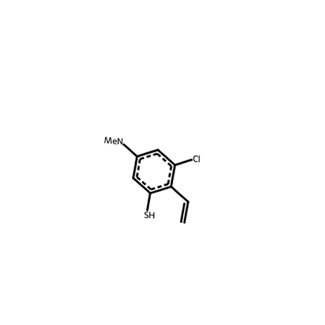 C=Cc1c(S)cc(NC)cc1Cl